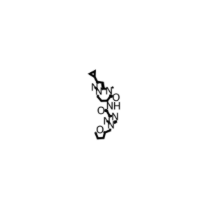 CN1C(=O)[C@@H](NC(=O)c2ncn(CC3CCCO3)n2)CCn2nc(C3CC3)cc21